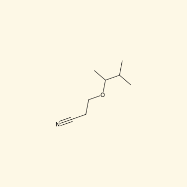 CC(C)C(C)OCCC#N